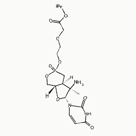 CC(C)OC(=O)COCCOP1(=O)C[C@@H]2[C@@H](CO1)O[C@@H](n1ccc(=O)[nH]c1=O)[C@]2(C)N